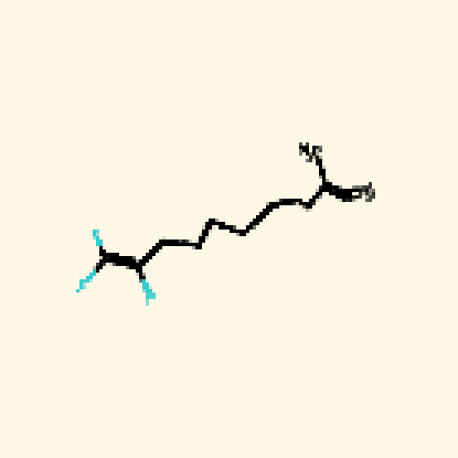 C=C(C)CCCCCCC(F)=C(F)F